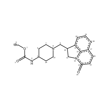 CC(C)(C)OC(=O)NC1CCN(CC2Cn3c(=O)ccc4nccc2c43)CC1